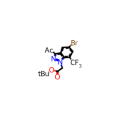 CC(=O)c1nn(CC(=O)OC(C)(C)C)c2c(C(F)(F)F)cc(Br)cc12